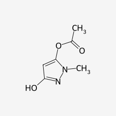 CC(=O)Oc1cc(O)nn1C